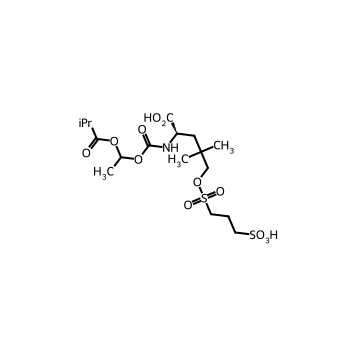 CC(OC(=O)N[C@H](CC(C)(C)COS(=O)(=O)CCCS(=O)(=O)O)C(=O)O)OC(=O)C(C)C